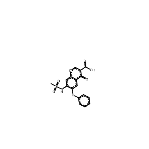 CS(=O)(=O)Nc1cc2occ(C(=O)O)c(=O)c2cc1Oc1ccccc1